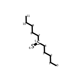 CCCCCS(=S)CCCCC